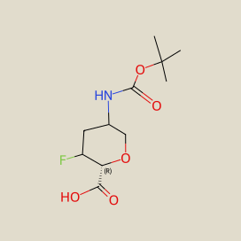 CC(C)(C)OC(=O)NC1CO[C@H](C(=O)O)C(F)C1